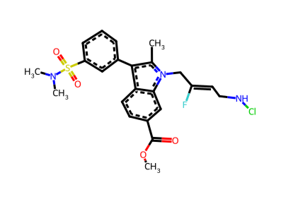 COC(=O)c1ccc2c(-c3cccc(S(=O)(=O)N(C)C)c3)c(C)n(C/C(F)=C/CNCl)c2c1